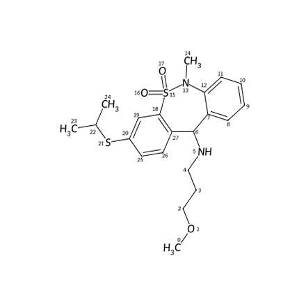 COCCCNC1c2ccccc2N(C)S(=O)(=O)c2cc(SC(C)C)ccc21